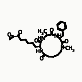 C[C@@H]1NC(=O)[C@H](CCCCCC(=O)[C@@H]2CO2)NC(=O)CCCCN(C)C(=O)[C@H](Cc2ccccc2)NC1=O